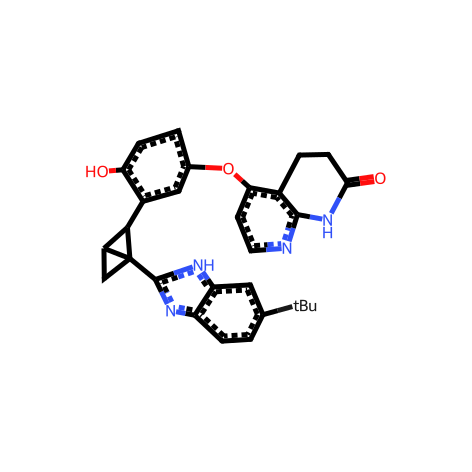 CC(C)(C)c1ccc2nc(C34CC3C4c3cc(Oc4ccnc5c4CCC(=O)N5)ccc3O)[nH]c2c1